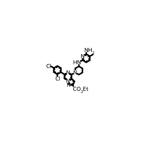 CCOC(=O)c1cc2c(N3CCCC(Nc4ccc(C)c(N)n4)C3)nc(-c3ccc(Cl)cc3Cl)cn2n1